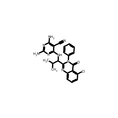 CC(C)C(Nc1nc(N)nc(N)c1C#N)c1nc2cccc(Cl)c2c(=O)n1-c1ccccc1